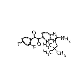 CC(C)(C)Cn1c(N)nc2ccc(C(=O)C(=O)c3ccc(F)cc3F)nc21